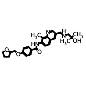 Cc1c(NC(=O)c2ccc(OCC3CCCO3)cc2)ccc2cc(CNCC(C)(C)O)cnc12